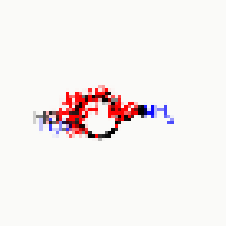 CC1\C=C/C=C\C=C/C=C\C=C/C=C\C=C/C(OC2O[C@H](C)[C@@H](O)[C@H](N)[C@@H]2O)CC2OC(O)(CC(O)CC(O)CC(O)CC(=O)CCCC(=O)CC(=O)OC1C(C)CC(C)C(O)CC(=O)c1ccc(N)cc1)CC(O)C2C(=O)O